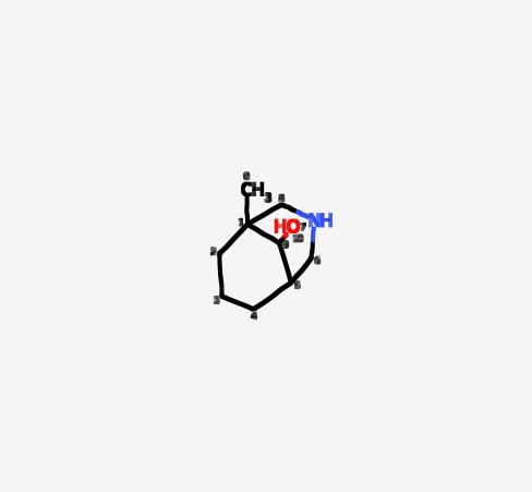 CC12CCCC(CNC1)C2O